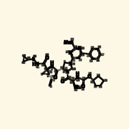 C=C[C@@H]1C[C@]1(NC(=O)[C@@H]1CN(c2cc(-c3ccccc3)nc(SC)n2)CN1C(=O)[C@@H](NC(=O)OC1CCCC1)C(C)(C)C)C(=O)NSC1CC1